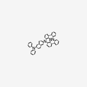 c1ccc(N(c2ccccc2)c2ccc3cc(N4c5cccc6c5B5c7c(cccc74)-c4ccccc4N5c4ccccc4-6)ccc3c2)cc1